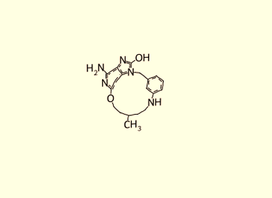 CC1CCNc2cccc(c2)Cn2c(O)nc3c(N)nc(cc32)OCC1